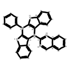 c1ccc(N2c3sc4ccccc4c3B(c3ncc4ccccc4n3)c3c2sc2ccccc32)cc1